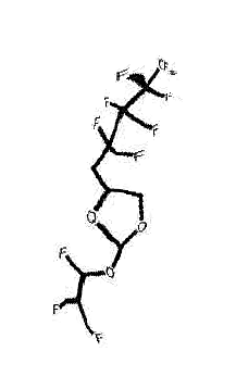 FC(F)C(F)OC1OCC(CC(F)(F)C(F)(F)C(F)(F)C(F)(F)F)O1